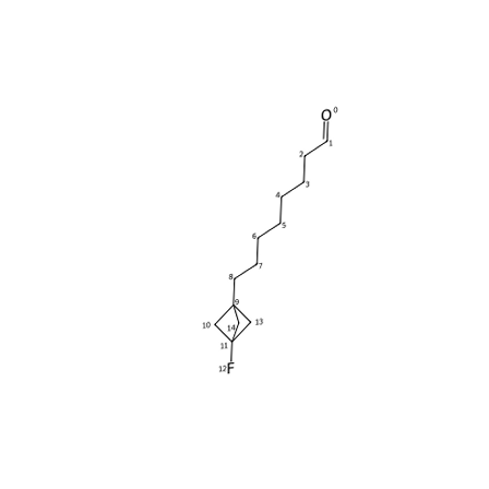 O=CCCCCCCCC12CC(F)(C1)C2